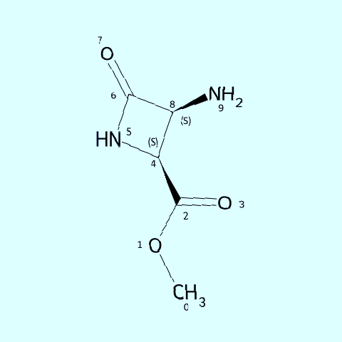 COC(=O)[C@H]1NC(=O)[C@H]1N